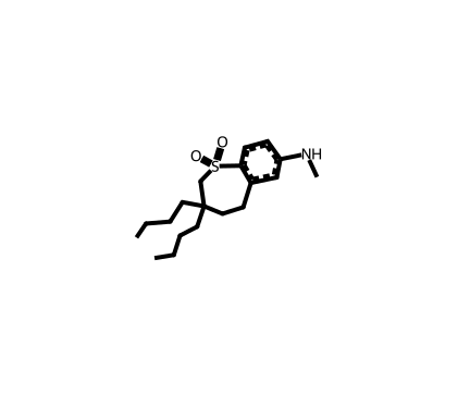 CCCCC1(CCCC)CCc2cc(NC)ccc2S(=O)(=O)C1